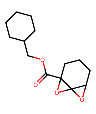 O=C(OCC1CCCCC1)C12CCCC3OC31O2